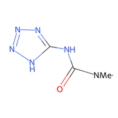 C[N]C(=O)Nc1nnn[nH]1